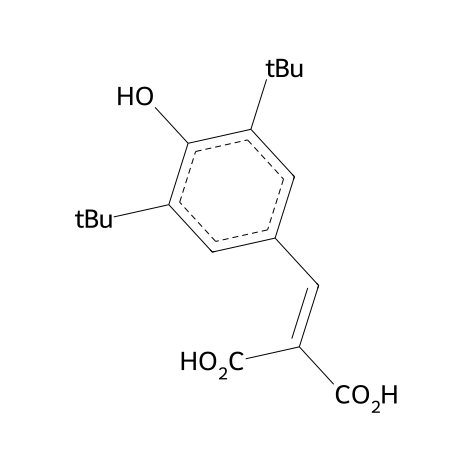 CC(C)(C)c1cc(C=C(C(=O)O)C(=O)O)cc(C(C)(C)C)c1O